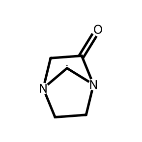 O=C1CN2[CH]N1CC2